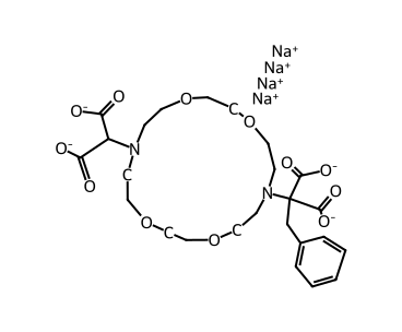 O=C([O-])C(C(=O)[O-])N1CCOCCOCCN(C(Cc2ccccc2)(C(=O)[O-])C(=O)[O-])CCOCCOCC1.[Na+].[Na+].[Na+].[Na+]